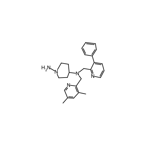 Cc1cnc(CN(Cc2ncccc2-c2ccccc2)C2CCN(N)CC2)c(C)c1